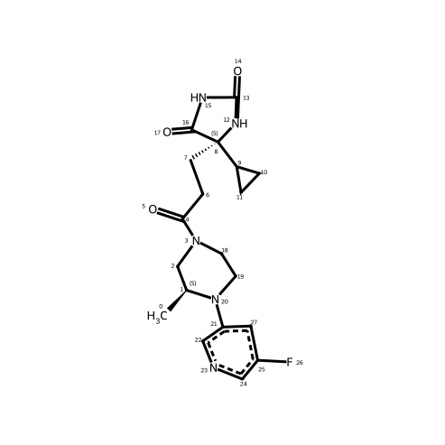 C[C@H]1CN(C(=O)CC[C@@]2(C3CC3)NC(=O)NC2=O)CCN1c1cncc(F)c1